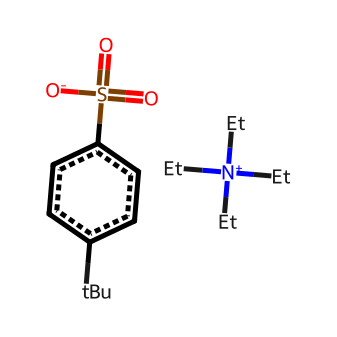 CC(C)(C)c1ccc(S(=O)(=O)[O-])cc1.CC[N+](CC)(CC)CC